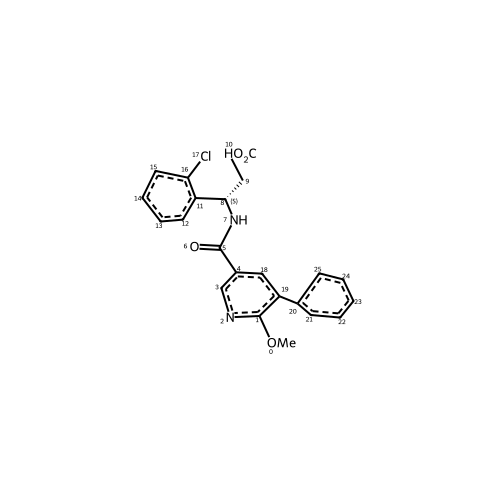 COc1ncc(C(=O)N[C@@H](CC(=O)O)c2ccccc2Cl)cc1-c1ccccc1